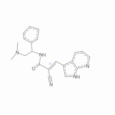 CN(C)CC(NC(=O)/C(C#N)=C/c1c[nH]c2ncccc12)c1ccccc1